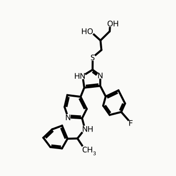 CC(Nc1cc(-c2[nH]c(SCC(O)CO)nc2-c2ccc(F)cc2)ccn1)c1ccccc1